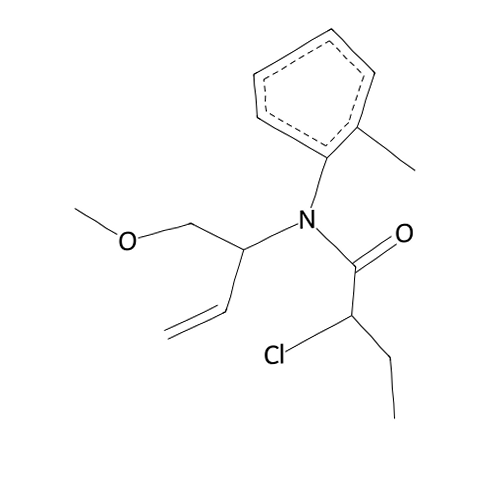 C=CC(COC)N(C(=O)C(Cl)CC)c1ccccc1C